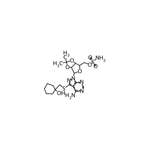 CC1(C)OC2C(COS(N)(=O)=O)OC(n3nc(SCC4(O)CCCCC4)c4c(N)ncnc43)C2O1